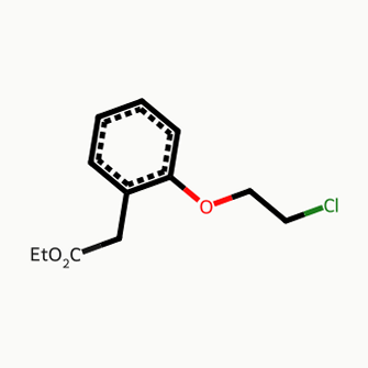 CCOC(=O)Cc1ccccc1OCCCl